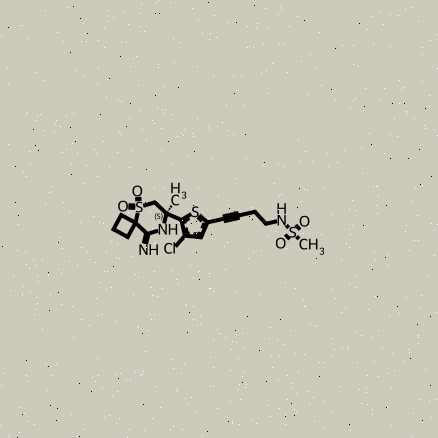 C[C@@]1(c2sc(C#CCCNS(C)(=O)=O)cc2Cl)CS(=O)(=O)C2(CCC2)C(=N)N1